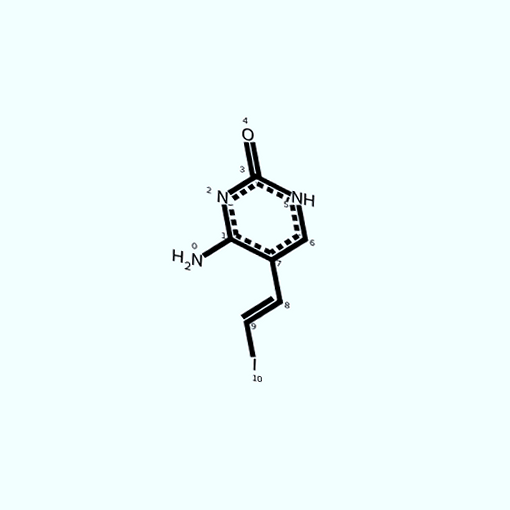 Nc1nc(=O)[nH]cc1/C=C/I